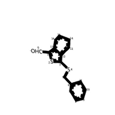 O=[C]c1sc(SCc2ccccc2)c2ccccc12